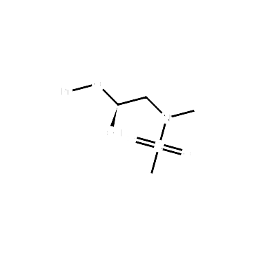 CC(C)O[C@H](O)CN(C)S(C)(=O)=O